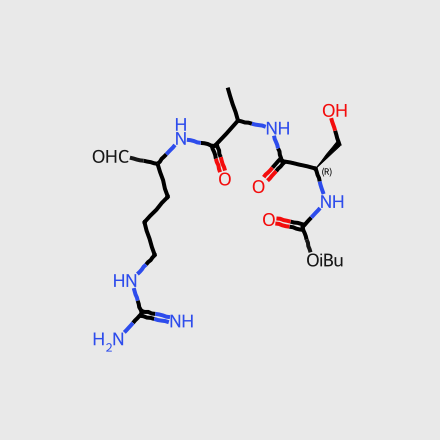 CC(C)COC(=O)N[C@H](CO)C(=O)NC(C)C(=O)NC(C=O)CCCNC(=N)N